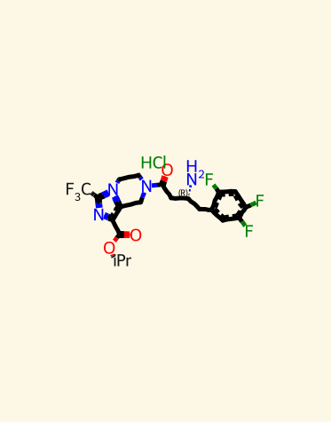 CC(C)OC(=O)c1nc(C(F)(F)F)n2c1CN(C(=O)C[C@H](N)Cc1cc(F)c(F)cc1F)CC2.Cl